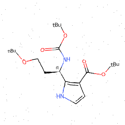 CCCCOCC[C@@H](NC(=O)OC(C)(C)C)c1[nH]ccc1C(=O)OC(C)(C)C